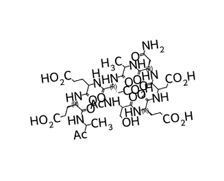 CC(=O)NC(CO)C(=O)N[C@H](CCC(=O)O)C(=O)NC(CC(=O)O)C(=O)N[C@H](CC(N)=O)C(=O)NC(C)C(=O)N[C@H](CC(=O)O)C(=O)NC(CCC(=O)O)C(=O)N[C@H](CCC(=O)O)C(=O)NC(C)C(C)=O